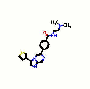 CN(C)CCNC(=O)c1ccc(-c2cn3c(-c4ccsc4)cnc3cn2)cc1